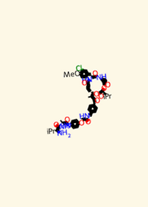 COc1ccc(C[C@H]2NC(=O)/C=C/C[C@@H]([C@H](C)[C@H]3O[C@@H]3c3ccc(CNC(=O)COc4ccc(NC(=O)[C@H](C)NC(=O)[C@@H](N)C(C)C)cc4)cc3)OC(=O)[C@H](CC(C)C)OC(=O)C(C)(C)CNC2=O)cc1Cl